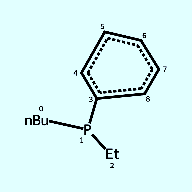 CCCCP(CC)c1ccccc1